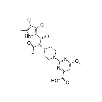 COc1cc(C(=O)O)nc(N2CCC(N(C(=O)F)C(=O)c3[nH]c(C)c(Cl)c3Cl)CC2)n1